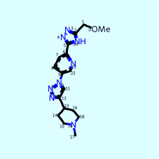 COCc1nnc(-c2ccc(-n3cc(C4CCN(C)CC4)nn3)cn2)[nH]1